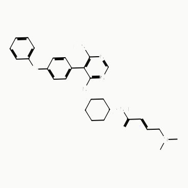 CN(C)C/C=C/C(=O)N[C@@H]1CCC[C@H](Nc2ncnc(N)c2-c2ccc(Oc3ccccc3)cc2)C1